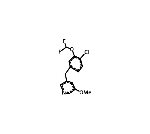 COc1cncc([CH]c2ccc(Cl)c(OC(F)F)c2)c1